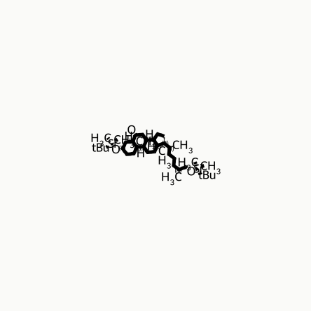 C[C@H](CCC[C@@H](C)[C@H]1CC[C@H]2[C@@H]3CC(=O)[C@H]4C[C@@H](O[Si](C)(C)C(C)(C)C)CC[C@]4(C)[C@H]3CC[C@]12C)CO[Si](C)(C)C(C)(C)C